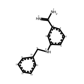 N=C(N)c1cc[c]c(NCc2ccccc2)c1